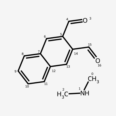 CNC.O=Cc1cc2ccccc2cc1C=O